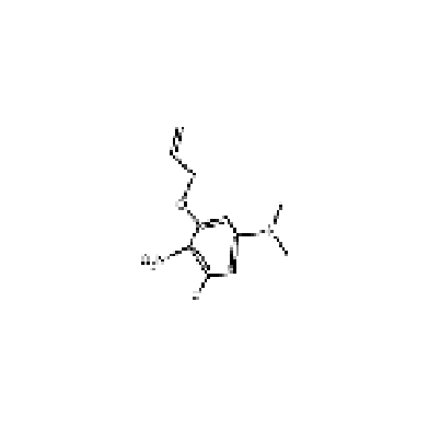 C=CCOc1cc(N(C)C)cc(F)c1[N+](=O)[O-]